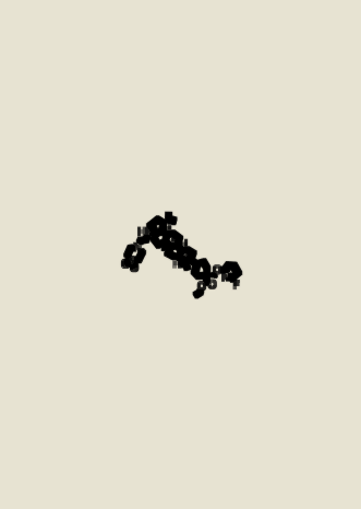 C=C(C)[C@@H]1CC[C@]2(NCCN3CCS(=O)(=O)CC3)CC[C@]3(C)[C@H](CC[C@@H]4[C@@]5(C)CC=C(C6=CC[C@@](COc7cccc(F)n7)(C(=O)OCC)CC6)C(C)(C)[C@@H]5CC[C@]43C)[C@@H]12